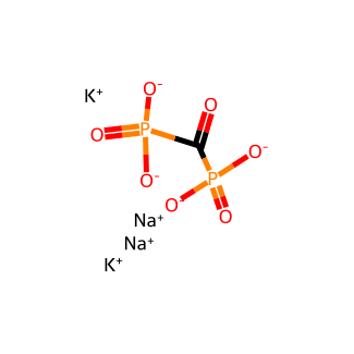 O=C(P(=O)([O-])[O-])P(=O)([O-])[O-].[K+].[K+].[Na+].[Na+]